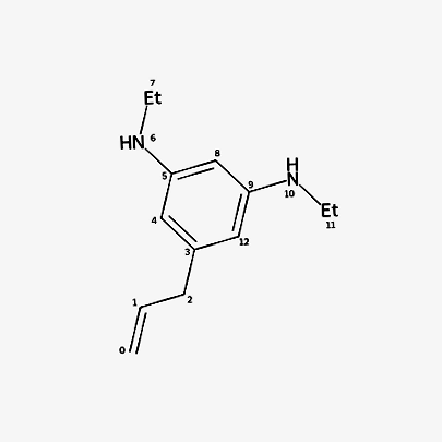 C=CCc1cc(NCC)cc(NCC)c1